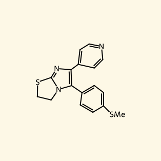 CSc1ccc(-c2c(-c3ccncc3)nc3n2CCS3)cc1